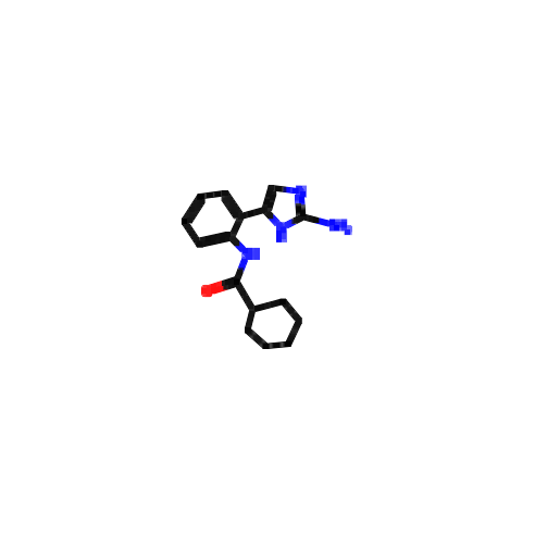 Nc1ncc(-c2ccccc2NC(=O)C2CCCCC2)[nH]1